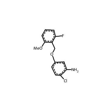 COc1cccc(F)c1COc1ccc(Cl)c(N)c1